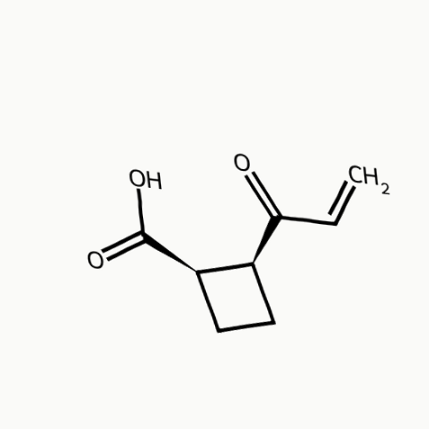 C=CC(=O)[C@H]1CC[C@H]1C(=O)O